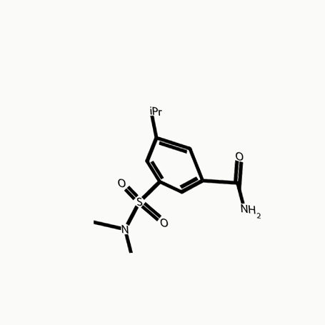 CC(C)c1cc(C(N)=O)cc(S(=O)(=O)N(C)C)c1